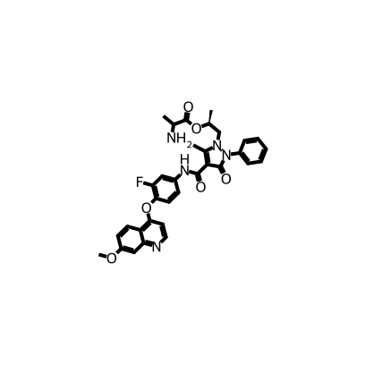 COc1ccc2c(Oc3ccc(NC(=O)c4c(C)n(C[C@H](C)OC(=O)C(C)N)n(-c5ccccc5)c4=O)cc3F)ccnc2c1